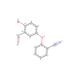 N#Cc1ccccc1Oc1ccc(Br)c(C=O)c1